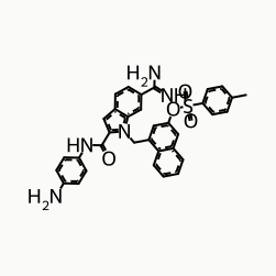 Cc1ccc(S(=O)(=O)Oc2cc(Cn3c(C(=O)Nc4ccc(N)cc4)cc4ccc(C(=N)N)cc43)c3ccccc3c2)cc1